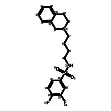 O=S(=O)(NCCCCN1CCc2ccccc2C1)c1ccc(F)c(F)c1